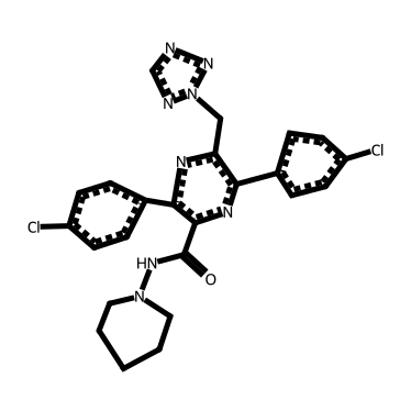 O=C(NN1CCCCC1)c1nc(-c2ccc(Cl)cc2)c(Cn2ncnn2)nc1-c1ccc(Cl)cc1